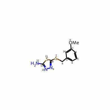 COc1cccc(CSc2nnc(N)s2)c1